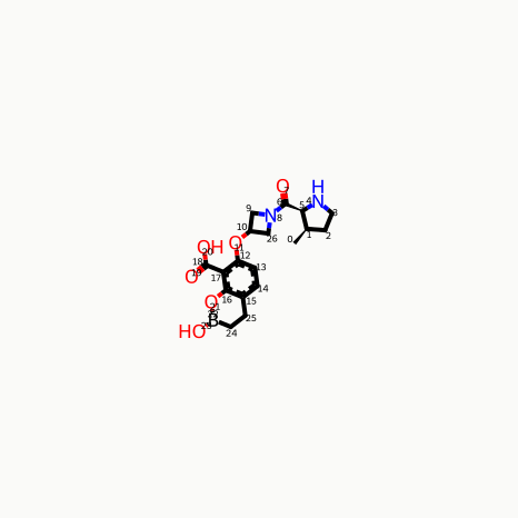 C[C@@H]1CCN[C@@H]1C(=O)N1CC(Oc2ccc3c(c2C(=O)O)OB(O)CC3)C1